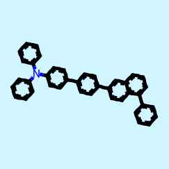 c1ccc(-c2cccc3cc(-c4ccc(-c5ccc(N(c6ccccc6)c6ccccc6)cc5)cc4)ccc23)cc1